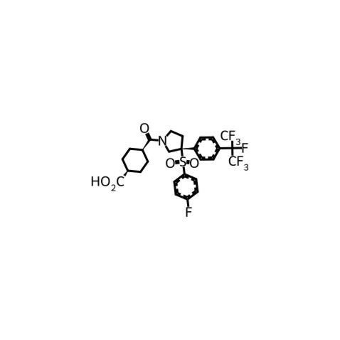 O=C(O)[C@H]1CC[C@@H](C(=O)N2CC[C@](c3ccc(C(F)(C(F)(F)F)C(F)(F)F)cc3)(S(=O)(=O)c3ccc(F)cc3)C2)CC1